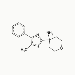 Cc1sc(C2(N)CCOCC2)nc1-c1ccccc1